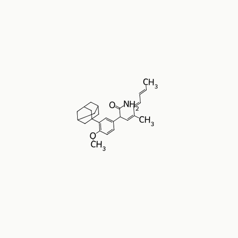 CC=CC=CC(C)=CC(C(N)=O)c1ccc(OC)c(C23CC4CC(CC(C4)C2)C3)c1